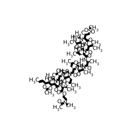 C/C=C/C[C@@H](C)[C@@H](OC(C)=O)[C@@H](C(=O)N[C@@H](CC)C(=O)OCCN(C)C(C)=O)N(C)C(=O)[C@H](C(C)C)N(C)C(=O)[C@H](CC(C)C)N(C)C(=O)[C@H](CC(C)C)N(C)C(=O)[C@@H](C)NC(=O)[C@H](C)NC(=O)[C@H](CC(C)C)N(C)C(=O)[C@@H](NC(=O)[C@H]([C@H](C)CS(C)(=O)=O)N(C)C(=O)[C@@H](C)NC)C(C)C